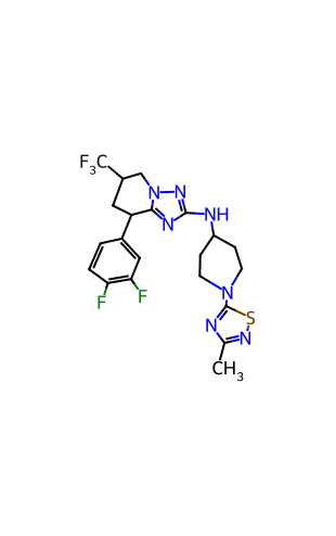 Cc1nsc(N2CCC(Nc3nc4n(n3)CC(C(F)(F)F)CC4c3ccc(F)c(F)c3)CC2)n1